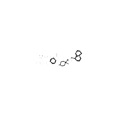 COc1c(Cl)cc(OC2CCC(C)(C(=O)OCc3cccc4ccccc34)CC2)cc1C(=O)O